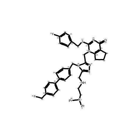 CC(C)N(CCNCc1nnc(Cn2c(SCc3ccc(F)cc3)nc(=O)c3c2CCC3)n1Cc1ccc(-c2ccc(CF)cc2)cc1)C(C)C